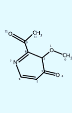 COC1C(=O)C=CN=C1C(C)=O